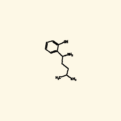 CC(C)CCC(N)c1ccccc1O